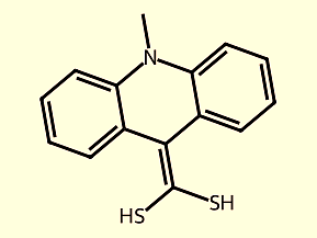 CN1c2ccccc2C(=C(S)S)c2ccccc21